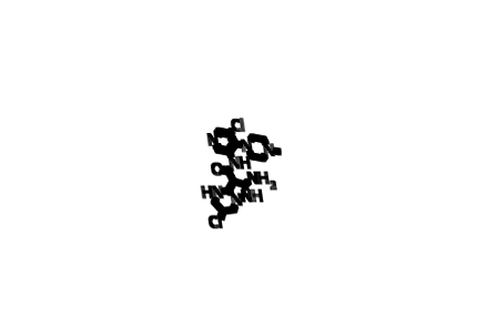 CN1CCN(c2c(Cl)cncc2NC(=O)C2C(N)NN3CC(Cl)CNC23)CC1